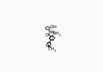 Cn1cc(-c2cnc(N)c(C(=O)N[C@@H]3CCC[C@@H]3O)c2)cn1